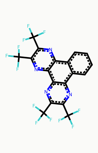 FC(F)(F)c1nc2c3ccccc3c3nc(C(F)(F)F)c(C(F)(F)F)nc3c2nc1C(F)(F)F